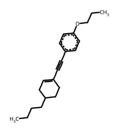 CCCCC1CC=C(C#Cc2ccc(OCCC)cc2)CC1